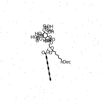 C#CC#CC#CC#CC#CC(=O)OC[C@H](COP(=O)(O)OC1C(O)C(OP(=O)(O)O)[C@H](O)C(OP(=O)(O)O)[C@@H]1O)OC(=O)CCCCCCCCCCCCCCC